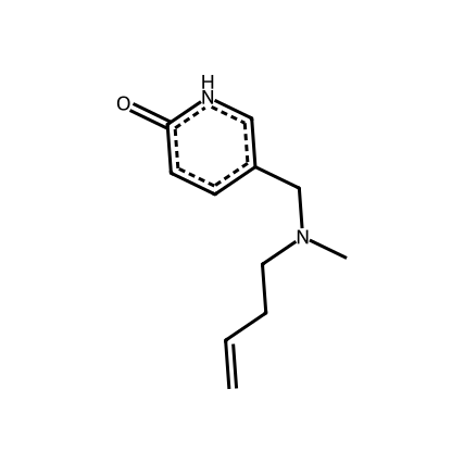 C=CCCN(C)Cc1ccc(=O)[nH]c1